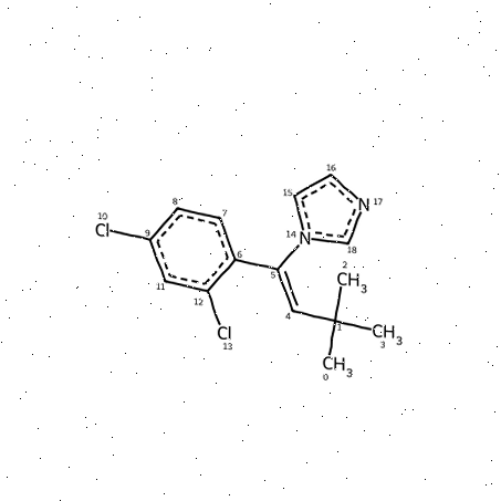 CC(C)(C)C=C(c1ccc(Cl)cc1Cl)n1ccnc1